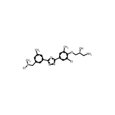 CCc1cc(-c2nnc(-c3cc(C)cc(CN(C)CC)c3)o2)cc(C)c1OC[C@@H](O)CN